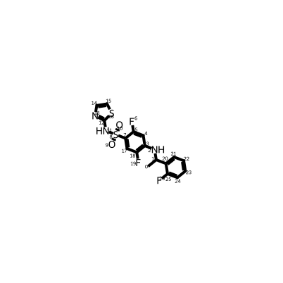 CC(Nc1cc(F)c(S(=O)(=O)Nc2nccs2)cc1F)c1ccccc1F